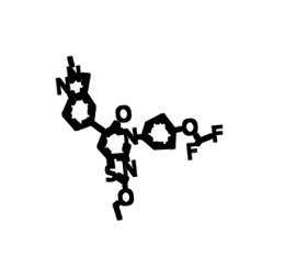 CCOc1nc2c(cc(-c3ccc4nn(C)cc4c3)c(=O)n2-c2ccc(OC(F)F)cc2)s1